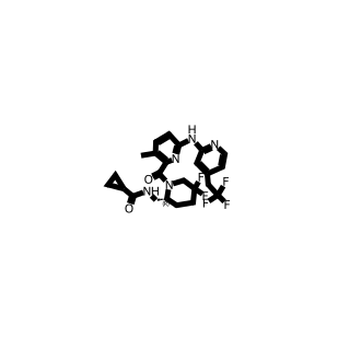 Cc1ccc(Nc2cc(CC(F)(F)F)ccn2)nc1C(=O)N1CC(F)(F)CC[C@@H]1CNC(=O)C1CC1